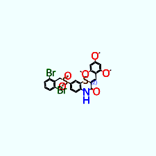 COc1cc(OC)c(/C=C2\Sc3cc(S(=O)(=O)Cc4c(Br)cccc4Br)ccc3NC2=O)c(OC)c1